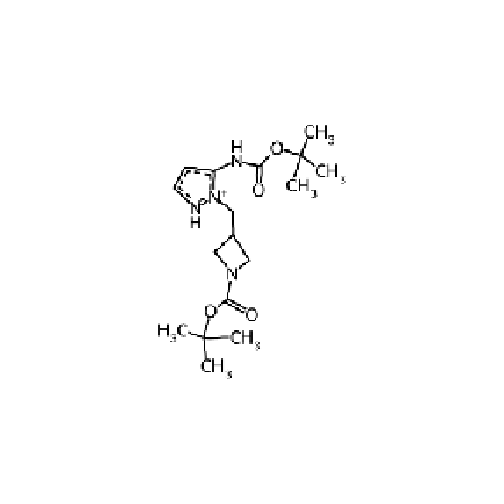 CC(C)(C)OC(=O)Nc1cc[nH][n+]1CC1CN(C(=O)OC(C)(C)C)C1